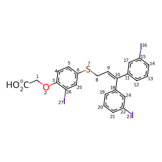 O=C(O)COc1ccc(SCC=C(c2cccc(I)c2)c2cccc(I)c2)cc1I